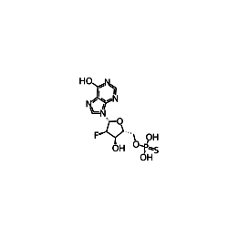 Oc1ncnc2c1ncn2[C@@H]1O[C@H](COP(O)(O)=S)[C@@H](O)[C@H]1F